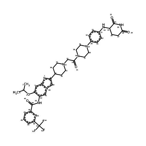 CC(C)Oc1cc2nc(C3CCN(CC(=O)N4CCN(c5ccc(NC6CCC(=O)NC6=O)cc5)CC4)CC3)cn2cc1NC(=O)c1cccc(C(F)(F)F)n1